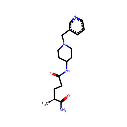 C[C@@H](C[CH]C(=O)NC1CCN(Cc2cccnc2)CC1)C(N)=O